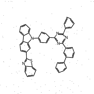 c1ccc(-c2cccc(-c3nc(-c4ccccc4)nc(-c4ccc(-n5c6ccccc6c6ccc(-c7nc8ccccc8s7)cc65)cc4)n3)c2)cc1